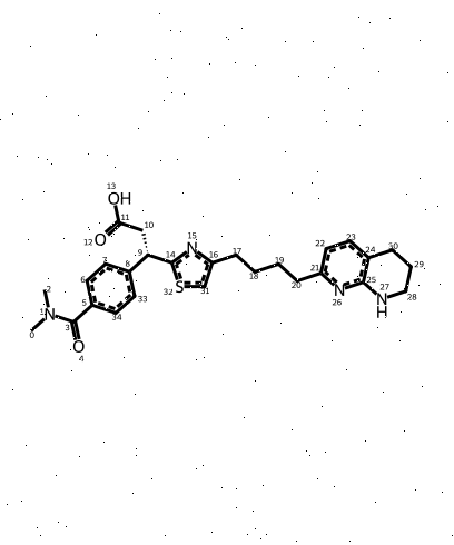 CN(C)C(=O)c1ccc([C@H](CC(=O)O)c2nc(CCCCc3ccc4c(n3)NCCC4)cs2)cc1